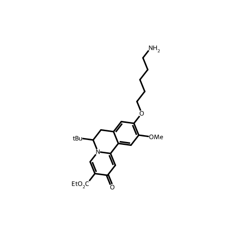 CCOC(=O)c1cn2c(cc1=O)-c1cc(OC)c(OCCCCCN)cc1CC2C(C)(C)C